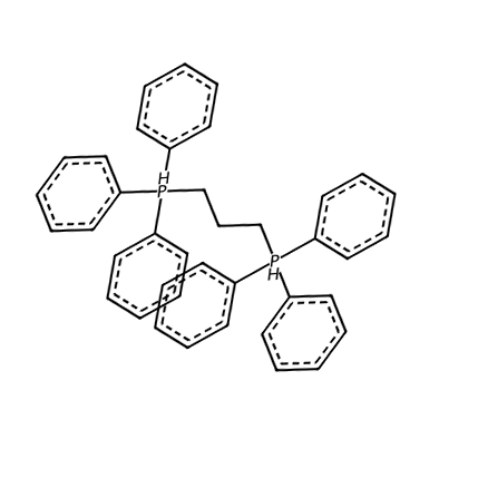 c1ccc([PH](CCC[PH](c2ccccc2)(c2ccccc2)c2ccccc2)(c2ccccc2)c2ccccc2)cc1